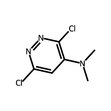 CN(C)c1cc(Cl)nnc1Cl